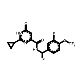 CC(C)C(NC(=O)c1cc(=O)[nH]c(C2CC2)n1)c1ccc(SC(F)(F)F)c(F)c1